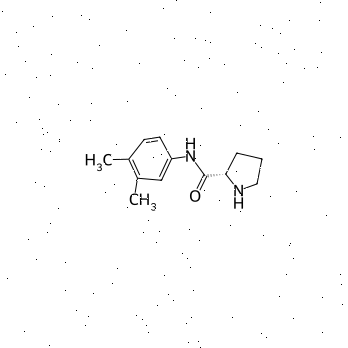 Cc1ccc(NC(=O)[C@@H]2CCCN2)cc1C